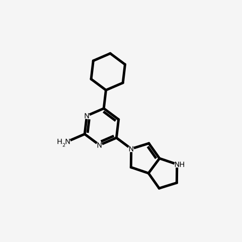 Nc1nc(C2CCCCC2)cc(N2C=C3NCCC3C2)n1